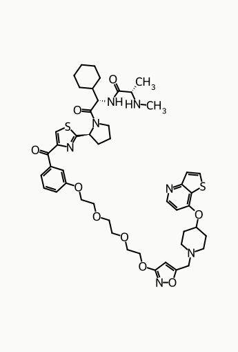 CN[C@@H](C)C(=O)N[C@H](C(=O)N1CCC[C@H]1c1nc(C(=O)c2cccc(OCCOCCOCCOc3cc(CN4CCC(Oc5ccnc6ccsc56)CC4)on3)c2)cs1)C1CCCCC1